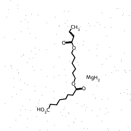 CC=CC(=O)OCCCCCCOC(=O)CCCCCCC(=O)O.[MgH2]